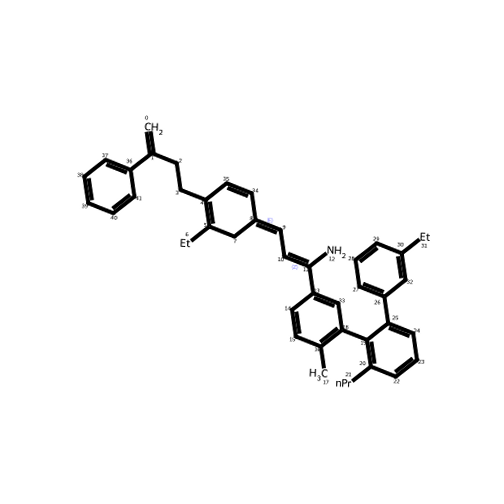 C=C(CCC1=C(CC)C/C(=C\C=C(/N)c2ccc(C)c(-c3c(CCC)cccc3-c3cccc(CC)c3)c2)C=C1)c1ccccc1